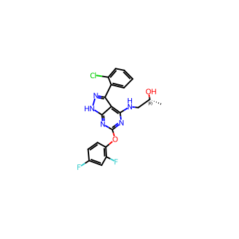 C[C@@H](O)CNc1nc(Oc2ccc(F)cc2F)nc2[nH]nc(-c3ccccc3Cl)c12